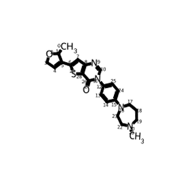 CC1OCC=C1c1cc2ncn(-c3ccc(N4CCCN(C)CC4)cc3)c(=O)c2s1